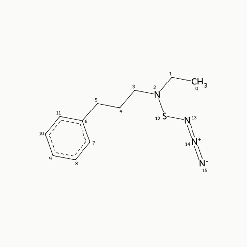 CCN(CCCc1ccccc1)SN=[N+]=[N-]